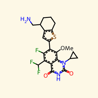 COc1c(-c2cc3c(s2)CCCC3CN)c(F)c(C(F)F)c2c(=O)[nH]c(=O)n(C3CC3)c12